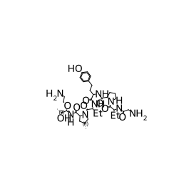 CCC(NC(=O)CN)C(=O)N1CCCC1C(=O)NC(CCc1ccc(O)cc1)C(=O)NC(CC)C(=O)N1C[C@H](C)CC1C(=O)NC(OCCN)[C@@H](C)O